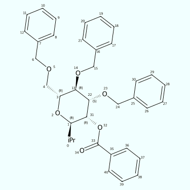 CC(C)[C@H]1O[C@H](COCc2ccccc2)[C@@H](OCc2ccccc2)[C@H](OCc2ccccc2)[C@@H]1OC(=O)c1ccccc1